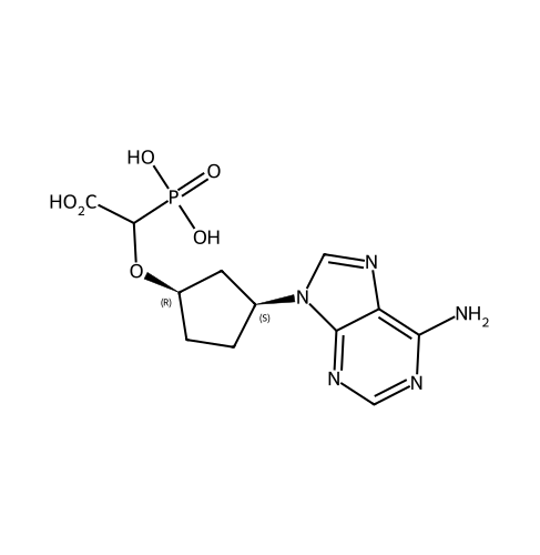 Nc1ncnc2c1ncn2[C@H]1CC[C@@H](OC(C(=O)O)P(=O)(O)O)C1